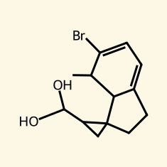 CC1C(Br)=CC=C2CCC3(CC3C(O)O)C21